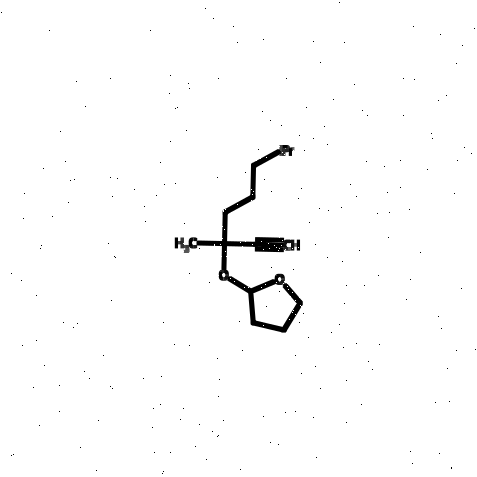 C#CC(C)(CCCC(C)C)OC1CCCO1